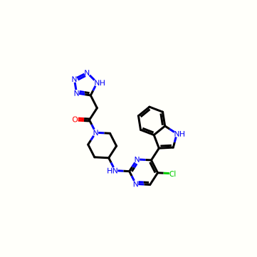 O=C(Cc1nnn[nH]1)N1CCC(Nc2ncc(Cl)c(-c3c[nH]c4ccccc34)n2)CC1